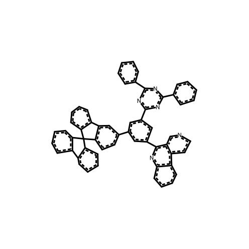 c1ccc(-c2nc(-c3ccccc3)nc(-c3cc(-c4ccc5c(c4)-c4ccccc4C54c5ccccc5-c5ccccc54)cc(-c4nc5ccccc5c5ccncc45)c3)n2)cc1